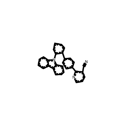 N#Cc1cccnc1-c1ccc(-c2ccccc2-n2c3ccccc3c3ccccc32)cc1